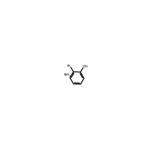 Oc1ccccc1Br.[BiH3]